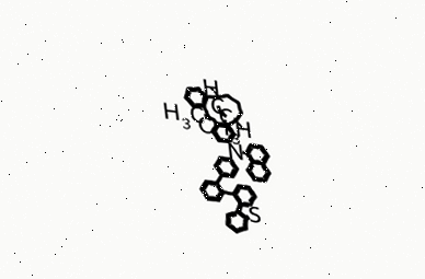 CC1(C)c2ccccc2[C@H]2CCC[C@H](CCC2)c2cc(N(c3ccc(-c4ccccc4-c4cccc5sc6ccccc6c45)cc3)c3cccc4ccccc34)ccc21